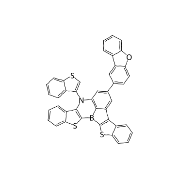 c1ccc2c(c1)oc1ccc(-c3cc4c5c(c3)N(c3csc6ccccc36)c3c(sc6ccccc36)B5c3sc5ccccc5c3-4)cc12